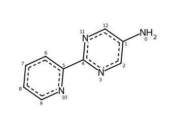 Nc1cnc(-c2ccccn2)nc1